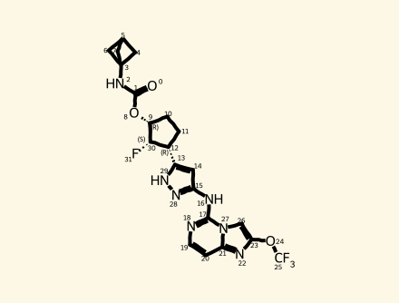 O=C(NC12CC(C1)C2)O[C@@H]1CC[C@H](c2cc(Nc3nccc4nc(OC(F)(F)F)cn34)n[nH]2)[C@@H]1F